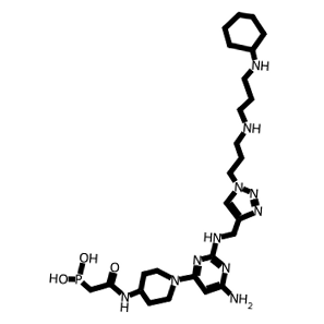 Nc1cc(N2CCC(NC(=O)CP(O)O)CC2)nc(NCc2cn(CCCNCCCNC3CCCCC3)nn2)n1